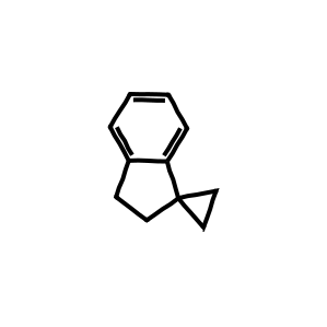 [CH]1CC12CCc1ccccc12